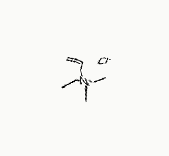 C=C[N+](C)(C)C.[Cl-]